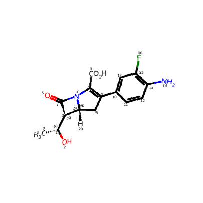 C[C@@H](O)[C@H]1C(=O)N2C(C(=O)O)=C(c3ccc(N)c(F)c3)C[C@H]12